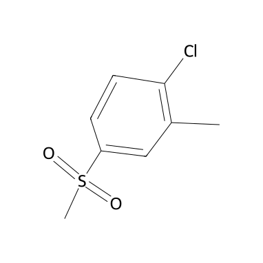 Cc1cc(S(C)(=O)=O)ccc1Cl